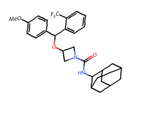 COc1ccc(C(OC2CN(C(=O)NC3C4CC5CC(C4)CC3C5)C2)c2ccccc2C(F)(F)F)cc1